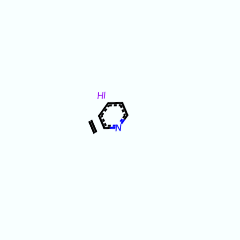 C=C.I.c1ccncc1